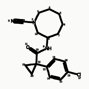 N#CN1CCCCCC(NC(=O)C2(c3ccc(Cl)cc3)CC2)C1